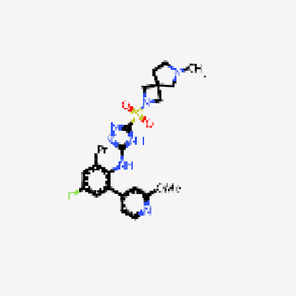 COc1cc(-c2cc(F)cc(C(C)C)c2Nc2nnc(S(=O)(=O)N3CC4(CCN(C)C4)C3)[nH]2)ccn1